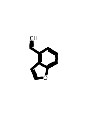 [CH]=Cc1cccc2occc12